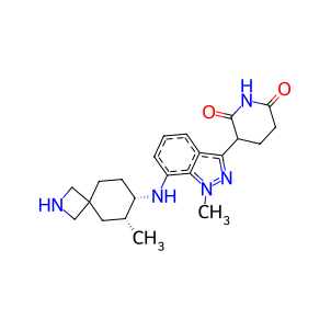 C[C@@H]1CC2(CC[C@@H]1Nc1cccc3c(C4CCC(=O)NC4=O)nn(C)c13)CNC2